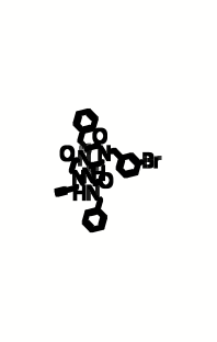 C#CCN1CC(=O)N2[C@@H](Cc3ccccc3)C(=O)N(Cc3cccc(Br)c3)C[C@@H]2N1C(=O)NCc1ccccc1